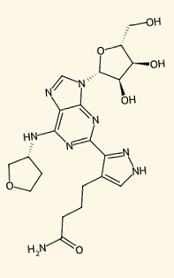 NC(=O)CCCc1c[nH]nc1-c1nc(N[C@@H]2CCOC2)c2ncn([C@@H]3O[C@H](CO)[C@@H](O)[C@H]3O)c2n1